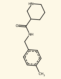 Cc1ccc(CNC(=O)C2CCCNC2)cc1